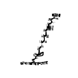 CCCCCC(CCCCC)CCOC(=O)CCCCCCCNCCCCO